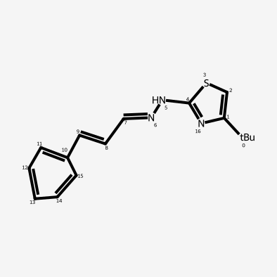 CC(C)(C)c1csc(N/N=C/C=C/c2ccccc2)n1